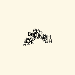 CC(C)n1c(NC[C@@H](O)CO)nc(OCc2ccc(F)cc2F)c(Br)c1=O